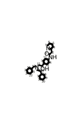 O=C(Cc1ccccn1)Nc1ccc(CCN(Cc2ccccc2)CC(O)c2ccccc2)cc1